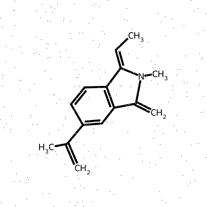 C=C(C)c1ccc2/c(=C/C)n(C)c(=C)c2c1